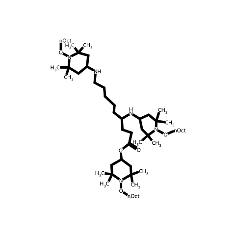 CCCCCCCCON1C(C)(C)CC(NCCCCCC(CCC(=O)OC2CC(C)(C)N(OCCCCCCCC)C(C)(C)C2)NC2CC(C)(C)N(OCCCCCCCC)C(C)(C)C2)CC1(C)C